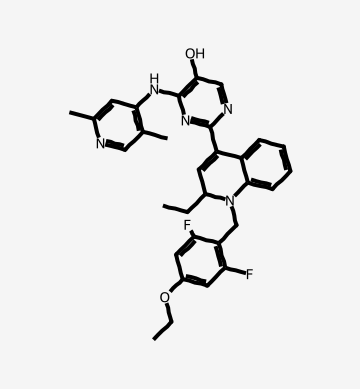 CCOc1cc(F)c(CN2c3ccccc3C(c3ncc(O)c(Nc4cc(C)ncc4C)n3)=CC2CC)c(F)c1